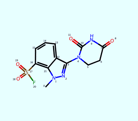 Cn1nc(N2CCC(=O)NC2=O)c2cccc(S(=O)(=O)F)c21